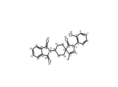 CC1=NN(c2ccncc2Cl)C(=O)C12CCC(N1C(=O)c3ccccc3C1=O)CC2